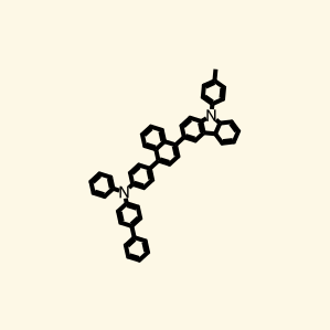 Cc1ccc(N2c3ccc(-c4ccc(-c5ccc(N(c6ccccc6)c6ccc(-c7ccccc7)cc6)cc5)c5ccccc45)cc3C3C=CC=CC32)cc1